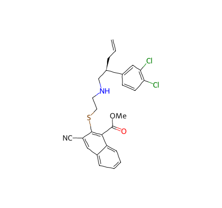 C=CC[C@H](CNCCSc1c(C#N)cc2ccccc2c1C(=O)OC)c1ccc(Cl)c(Cl)c1